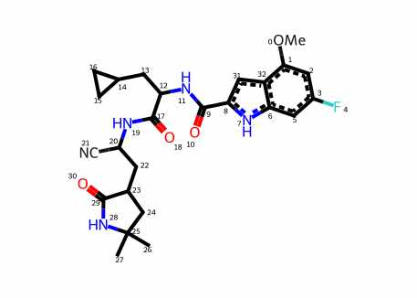 COc1cc(F)cc2[nH]c(C(=O)NC(CC3CC3)C(=O)NC(C#N)CC3CC(C)(C)NC3=O)cc12